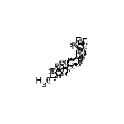 CCCc1cc2ccc(-c3ccc4cc(C(F)(F)Oc5cc(F)c(F)c(F)c5)ccc4c3)c(F)c2c(F)c1F